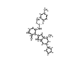 Cc1ccc(C[C@@H](CO)Nc2cc[nH]c(=O)c2-c2nc3c(C)cc(-n4ccnc4)cc3[nH]2)cc1